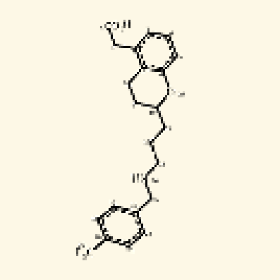 O=C(O)Cc1cccc2c1CCC(CCCNCc1ccc(C(F)(F)F)cc1)O2